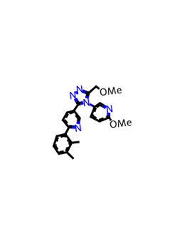 COCc1nnc(-c2ccc(-c3cccc(C)c3C)nc2)n1-c1ccc(OC)nc1